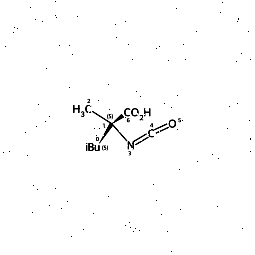 CC[C@H](C)[C@](C)(N=C=O)C(=O)O